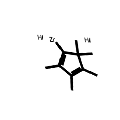 CC1=C(C)C(C)(C)[C]([Zr])=C1C.I.I